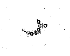 Cc1ccc(-c2nc(-c3ccc(NC(=O)Nc4ccc(C(=O)NCCCN(C)C)cc4)cc3)nc(N3CCOCC3)n2)cc1